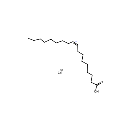 CCCCCCCC/C=C\CCCCCCCC(=O)O.[Cd].[Zn]